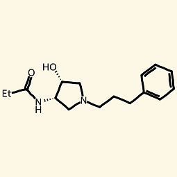 CCC(=O)N[C@H]1CN(CCCc2ccccc2)C[C@H]1O